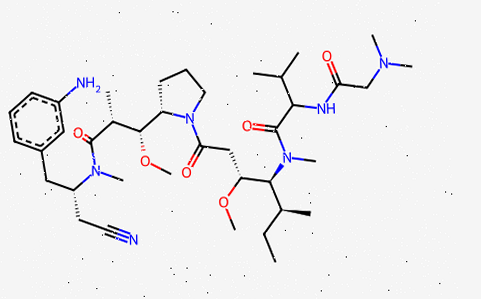 CC[C@H](C)[C@@H]([C@@H](CC(=O)N1CCC[C@H]1[C@H](OC)[C@@H](C)C(=O)N(C)[C@H](CC#N)Cc1cccc(N)c1)OC)N(C)C(=O)C(NC(=O)CN(C)C)C(C)C